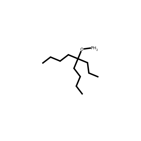 CCCCC(CCC)(CCCC)OP